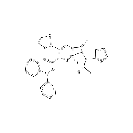 CC(=O)N(c1cccs1)C1C(=O)N2C=C(C3OCCO3)C(C(=O)OC(c3ccccc3)c3ccccc3)S[C@H]12